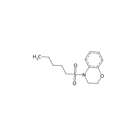 CCCCCS(=O)(=O)N1C[CH]Oc2ccccc21